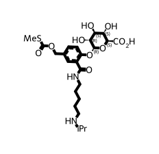 CSC(=O)OCc1ccc(O[C@H]2O[C@H](C(=O)O)[C@@H](O)[C@H](O)[C@H]2O)c(C(=O)NCCCCCNC(C)C)c1